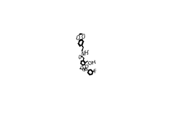 COc1ccc(CC(=O)NCCc2ccc3c(c2)OCCO3)c(CO)c1OS(=O)c1cccc(F)c1